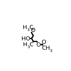 COCCC(O)C(C)COC(C)=O